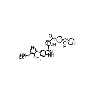 CCNCc1cncc(-c2ccc3[nH]nc(-c4ncc(C(=O)N5CCC(O)(CN6CCOCC6)CC5)[nH]4)c3c2)c1C